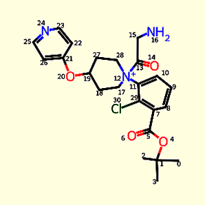 CC(C)(C)OC(=O)c1cccc([N+]2(C(=O)CN)CCC(Oc3ccncc3)CC2)c1Cl